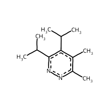 Cc1nnc(C(C)C)c(C(C)C)c1C